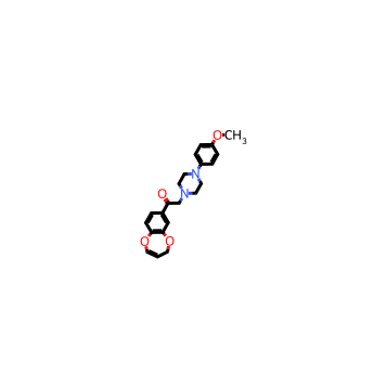 COc1ccc(N2CCN(CC(=O)c3ccc4c(c3)OCC=CO4)CC2)cc1